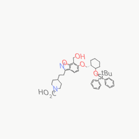 CC(C)(C)[Si](O[C@@H]1CCCC[C@H]1COc1ccc2c(CCC3CCN(C(=O)O)CC3)noc2c1CO)(c1ccccc1)c1ccccc1